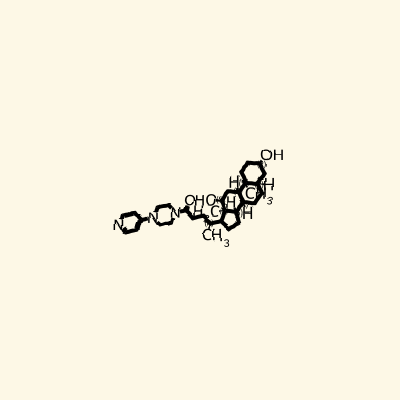 C[C@H](CCC(=O)N1CCN(c2ccncc2)CC1)C1CC[C@H]2[C@@H]3CC[C@@H]4C[C@H](O)CC[C@]4(C)[C@H]3C[C@H](O)[C@]12C